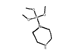 CO[Si](OC)(OC)N1CCNCC1